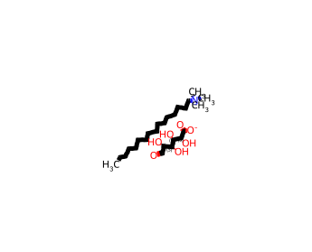 CCCCCCCCCCCCCCCC[N+](C)(C)C.O=C[C@H](O)[C@@H](O)[C@H](O)[C@H](O)C(=O)[O-]